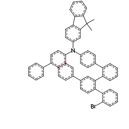 CC1(C)c2ccccc2-c2ccc(N(c3ccc(-c4ccccc4)cc3)c3ccc(-c4ccccc4-c4cc(-c5ccccc5)ccc4-c4ccccc4Br)cc3)cc21